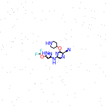 N#Cc1ncc(Nc2cc(OC(F)F)[nH]n2)nc1OC1CCNCC1